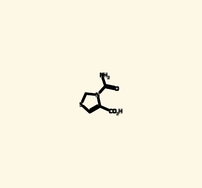 NC(=O)N1CSC=C1C(=O)O